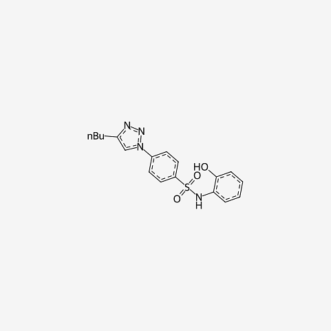 CCCCc1cn(-c2ccc(S(=O)(=O)Nc3ccccc3O)cc2)nn1